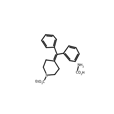 CCOC(=O)N1CCC(=C(c2ccccc2)c2ccccc2)CC1.NC(=O)O